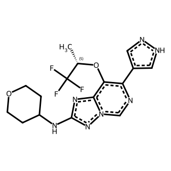 C[C@H](Oc1c(-c2cn[nH]c2)ncn2nc(NC3CCOCC3)nc12)C(F)(F)F